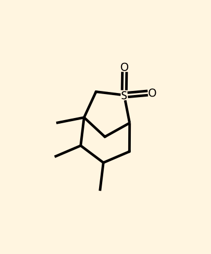 CC1CC2CC(C)(CS2(=O)=O)C1C